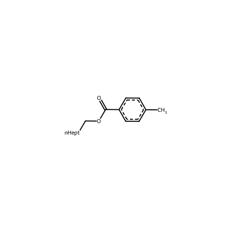 CCCCCCCCOC(=O)c1ccc(C)cc1